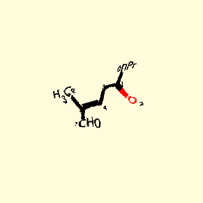 CCCC(=O)C/C=C(\C)C=O